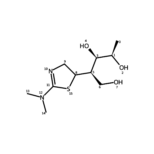 C[C@@H](O)[C@H](O)[C@@H](CO)C1CN=C(N(C)C)S1